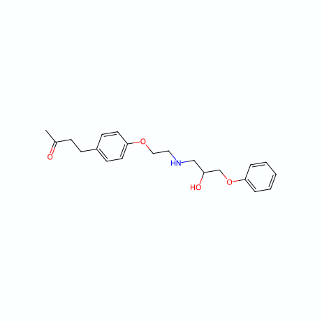 CC(=O)CCc1ccc(OCCNCC(O)COc2ccccc2)cc1